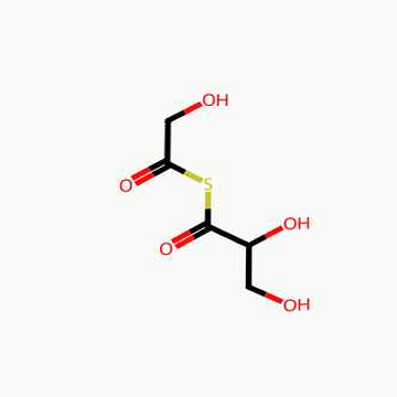 O=C(CO)SC(=O)C(O)CO